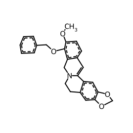 COc1ccc2c(c1OCc1ccccc1)CN1CCc3cc4c(cc3C1=C2)OCO4